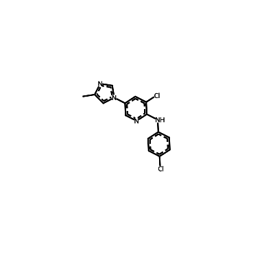 Cc1cn(-c2cnc(Nc3ccc(Cl)cc3)c(Cl)c2)cn1